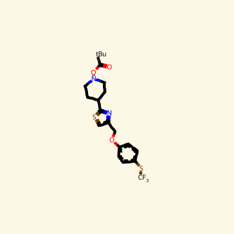 CC(C)(C)C(=O)ON1CCC(c2nc(COc3ccc(SC(F)(F)F)cc3)cs2)CC1